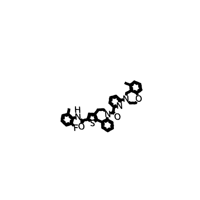 Cc1cccc2c1CN(c1cccc(C(=O)N3CCc4cc(C(=O)Nc5c(C)cccc5F)sc4-c4ccccc43)n1)CCO2